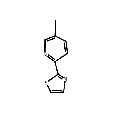 Cc1c[c]c(-c2nccs2)nc1